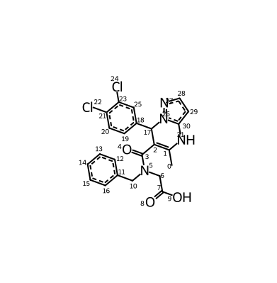 CC1=C(C(=O)N(CC(=O)O)Cc2ccccc2)C(c2ccc(Cl)c(Cl)c2)n2nccc2N1